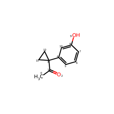 CC(=O)C1(c2cccc(O)c2)CC1